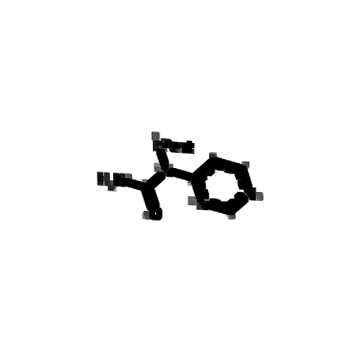 CCCCCN(C(N)=O)c1ccncn1